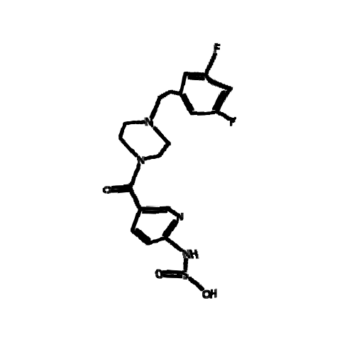 O=C(c1ccc(NS(=O)O)nc1)N1CCN(Cc2cc(F)cc(F)c2)CC1